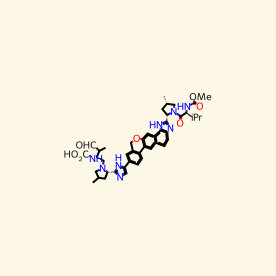 COC(=O)N[C@H](C(=O)N1C[C@@H](C)C[C@H]1c1nc2ccc3cc4c(cc3c2[nH]1)OCc1cc(-c2cnc([C@@H]3CC(C)CN3C[C@@H](NC(=O)O)C(C)C=O)[nH]2)ccc1-4)C(C)C